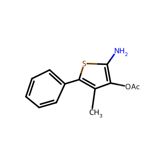 CC(=O)Oc1c(N)sc(-c2ccccc2)c1C